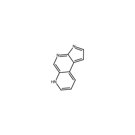 c1c[nH]c2cnc3nccc3c2c1